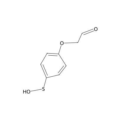 O=CCOc1ccc(SO)cc1